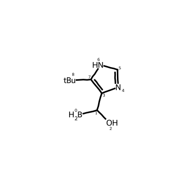 BC(O)c1nc[nH]c1C(C)(C)C